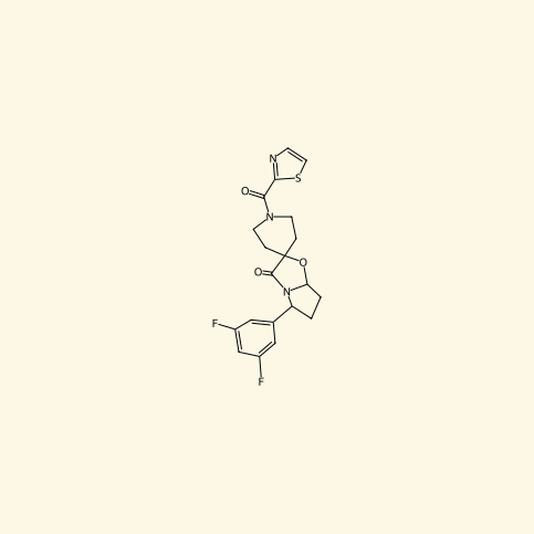 O=C(c1nccs1)N1CCC2(CC1)OC1CCC(c3cc(F)cc(F)c3)N1C2=O